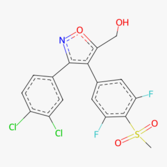 CS(=O)(=O)c1c(F)cc(-c2c(-c3ccc(Cl)c(Cl)c3)noc2CO)cc1F